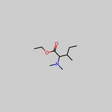 CCOC(=O)C(C(C)CC)N(C)C